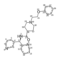 O=C(N[C@H](c1cccnc1)c1ccccn1)C1CCN(CCOc2ccccc2)CC1